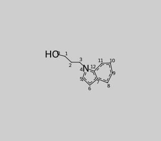 OCCCn1[c]cc2ccccc21